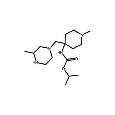 CC1CN(CC2(NC(=O)OC(C)C)CCN(C)CC2)CCN1